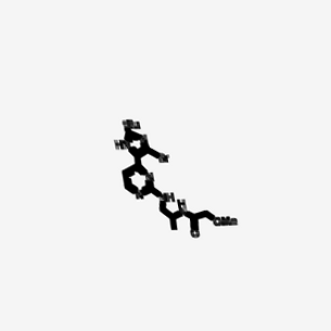 COCC(=O)NC(C)CNc1nccc(-c2[nH]c(C(C)(C)C)nc2Br)n1